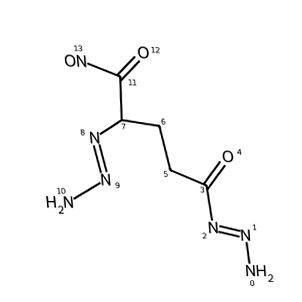 NN=NC(=O)CCC(N=NN)C(=O)N=O